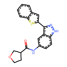 O=C(Nc1ccc2[nH]nc(-c3cc4ccccc4s3)c2c1)C1CCOC1